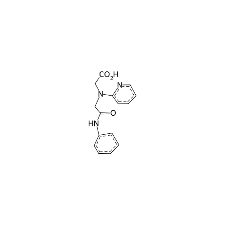 O=C(O)CN(CC(=O)Nc1ccccc1)c1ccccn1